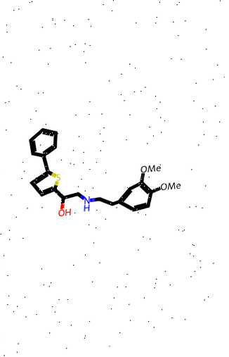 COc1ccc(CCNCC(O)c2ccc(-c3ccccc3)s2)cc1OC